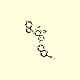 Nc1ccc2ccc([C@@H]3C[C@@]4(CO3)C[C@@H](n3ccc5cncnc53)[C@H](O)[C@@H]4O)cc2n1